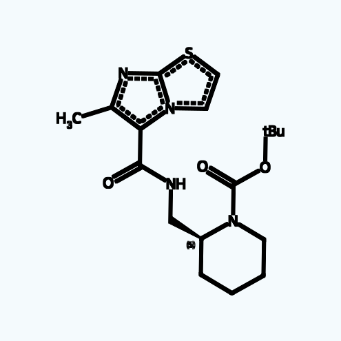 Cc1nc2sccn2c1C(=O)NC[C@@H]1CCCCN1C(=O)OC(C)(C)C